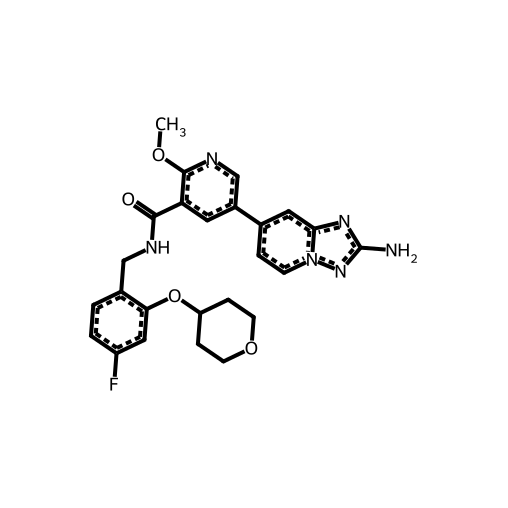 COc1ncc(-c2ccn3nc(N)nc3c2)cc1C(=O)NCc1ccc(F)cc1OC1CCOCC1